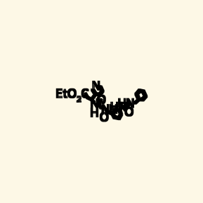 CCOC(=O)CC(NC(=O)CNC(=O)c1cccc(NC(=O)NCc2ccccc2)c1)c1cccnc1